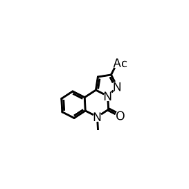 CC(=O)c1cc2c3ccccc3n(C)c(=O)n2n1